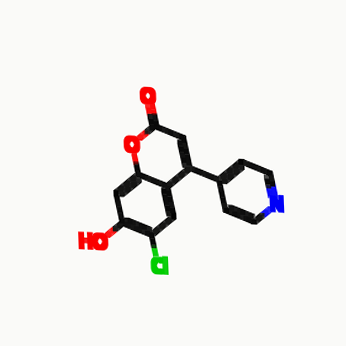 O=c1cc(-c2ccncc2)c2cc(Cl)c(O)cc2o1